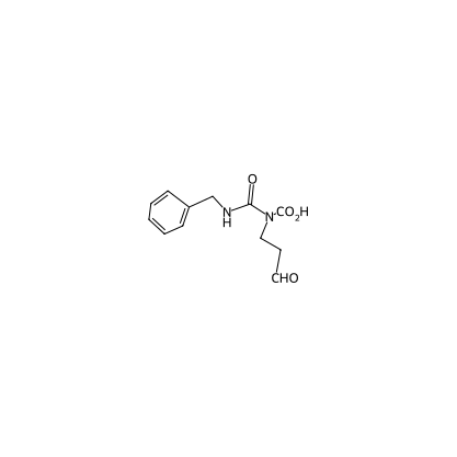 O=CCCN(C(=O)O)C(=O)NCc1ccccc1